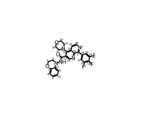 O=C(NN1CCOc2ccccc21)c1cnc2c(-c3cc(F)c(F)c(F)c3)nccc2c1N1CCOCC1